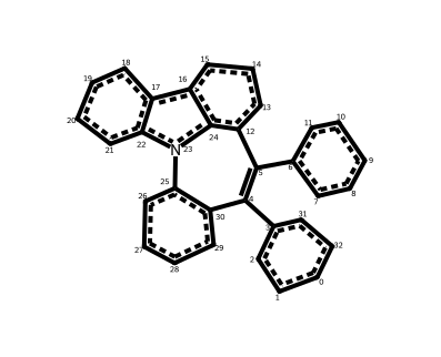 c1ccc(C2=C(c3ccccc3)c3cccc4c5ccccc5n(c34)-c3ccccc32)cc1